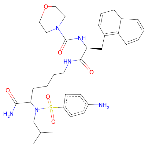 CC(C)CN(C(CCCCNC(=O)[C@H](CC1=C2C=CC=CC2CC=C1)NC(=O)N1CCOCC1)C(N)=O)S(=O)(=O)c1ccc(N)cc1